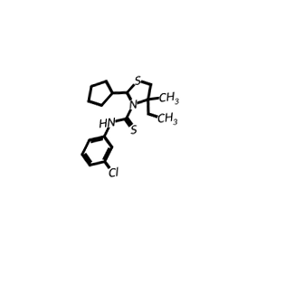 CCC1(C)CSC(C2CCCC2)N1C(=S)Nc1cccc(Cl)c1